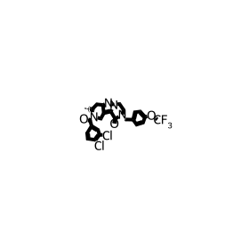 C[C@@H]1Cc2nn3c(c2CN1C(=O)c1ccc(Cl)c(Cl)c1)C(=O)N(Cc1ccc(OC(F)(F)F)cc1)CC3